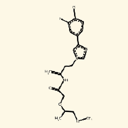 C=C(CCn1cnc(-c2ccc(Cl)c(F)c2)c1)NC(=O)COC(C)COC(F)(F)F